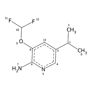 CC(C)c1cnc(N)c(OC(F)F)c1